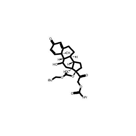 CCCC(=O)OCC(=O)[C@@]1(OC(=O)OCC(C)CC)CC[C@H]2[C@@H]3CCC4=CC(=O)C=C[C@]4(C)[C@H]3C(O)C[C@@]21C